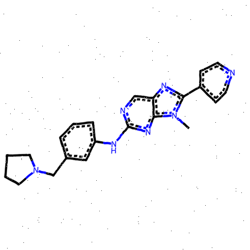 Cn1c(-c2ccncc2)nc2cnc(Nc3cccc(CN4CCCC4)c3)nc21